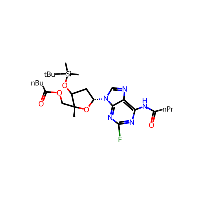 CCCCC(=O)OC[C@@]1(C)O[C@@H](n2cnc3c(NC(=O)CCC)nc(F)nc32)CC1O[Si](C)(C)C(C)(C)C